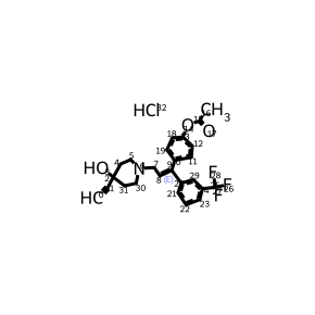 C#CC1(O)CCN(C/C=C(\c2ccc(OC(C)=O)cc2)c2cccc(C(F)(F)F)c2)CC1.Cl